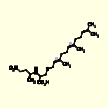 C=C(CC[N+](=O)[O-])NC(CSC/C=C(\C)CC/C=C(\C)CCC=C(C)C)C(=O)O